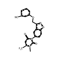 Cn1c(C(F)(F)F)cc(=O)n(-c2ccc3snc(COc4cccc(C#N)c4)c3c2)c1=O